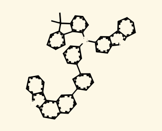 CC1(C)c2ccccc2-c2c(N(c3cccc(-c4cccc(-c5ccc6ccc7oc8ccccc8c7c6c5)c4)c3)c3ccc4oc5ccccc5c4c3)cccc21